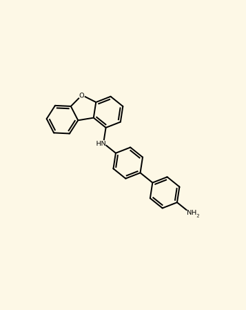 Nc1ccc(-c2ccc(Nc3cccc4oc5ccccc5c34)cc2)cc1